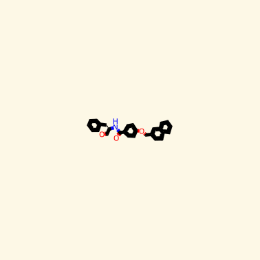 O=C[C@H](Cc1ccccc1)NC(=O)c1ccc(OCc2ccc3ccccc3c2)cc1